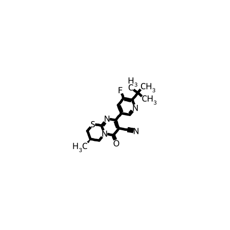 C[C@H]1CSc2nc(-c3cnc(C(C)(C)C)c(F)c3)c(C#N)c(=O)n2C1